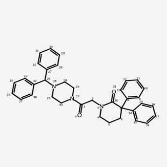 O=C(CN1CCCC(c2ccccc2)(c2ccccc2)C1=O)N1CCN(C(c2ccccc2)c2ccccc2)CC1